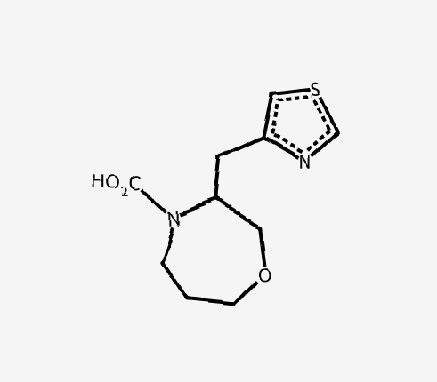 O=C(O)N1CCCOCC1Cc1cscn1